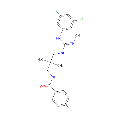 CC(C)(CNC(=O)c1ccc(Cl)cc1)CNC(=NC#N)Nc1cc(F)cc(F)c1